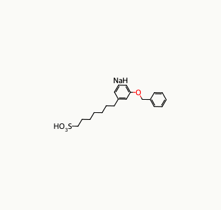 O=S(=O)(O)CCCCCCCc1cccc(OCc2ccccc2)c1.[NaH]